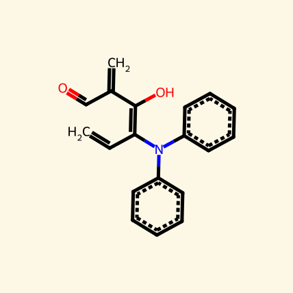 C=C/C(=C(/O)C(=C)C=O)N(c1ccccc1)c1ccccc1